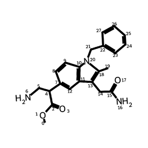 COC(=O)C(CN)c1ccc2c(c1)c(CC(N)=O)c(C)n2Cc1ccccc1